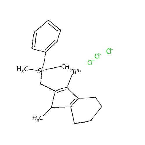 CC1C(C[Si](C)(C)c2ccccc2)=[C]([Ti+3])C2=C1CCCC2.[Cl-].[Cl-].[Cl-]